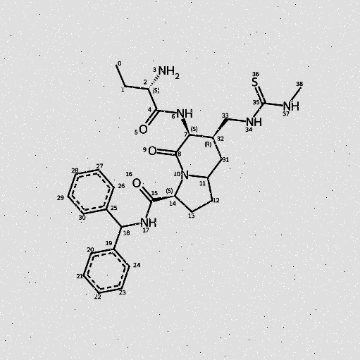 CC[C@H](N)C(=O)N[C@@H]1C(=O)N2C(CC[C@H]2C(=O)NC(c2ccccc2)c2ccccc2)C[C@@H]1CNC(=S)NC